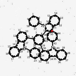 c1ccc(-n2c(-c3cc(-c4cccc5c6ccccc6n(-c6ccccc6)c45)cc(-c4cccc5c6ccccc6n(-c6ccccc6)c45)c3)cc3ccccc32)cc1